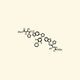 COC(=O)NC(C(=O)N1CCC[C@H]1c1nc2cc([C@H]3CC[C@H](c4ccc5[nH]c([C@@H]6CCCN6C(=O)[C@@H](NC(=O)OC)C(C)C)nc5c4)N3c3cc(F)c(N4CCCCC4)c(F)c3)ccc2[nH]1)C(C)C